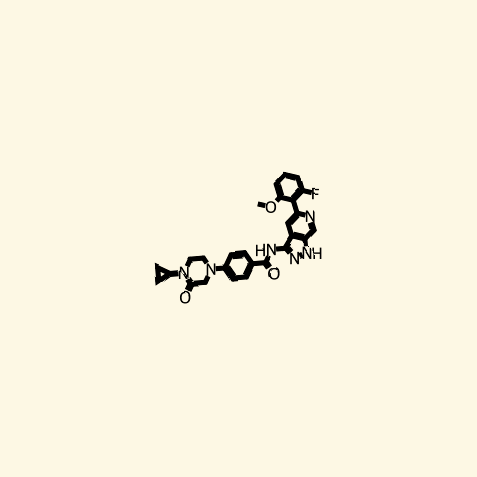 COc1cccc(F)c1-c1cc2c(NC(=O)c3ccc(N4CCN(C5CC5)C(=O)C4)cc3)n[nH]c2cn1